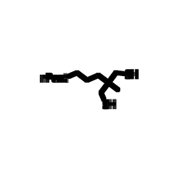 CCCCCCCCC(C)(CS)CS